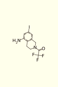 Nc1cc(I)cc2c1CCN(C(=O)C(F)(F)F)C2